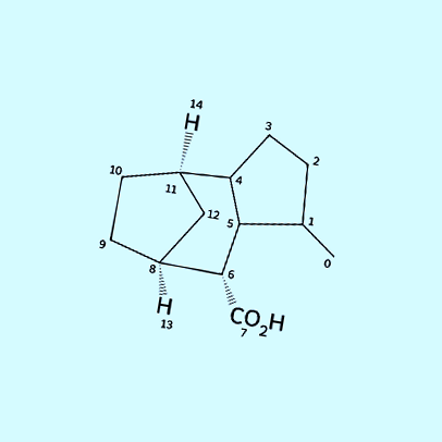 CC1CCC2C1[C@H](C(=O)O)[C@H]1CC[C@@H]2C1